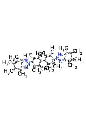 Cc1c(C)c(-n2nc3c(C)c(C)c(C)c(C)c3n2)c(C)c(C)c1-c1c(C)c(C)c(-n2nc3c(C)c(C)c(C)c(C)c3n2)c(C)c1C